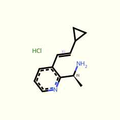 C[C@H](N)c1ncccc1/C=C/C1CC1.Cl